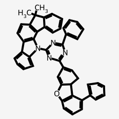 CC1(C)c2ccccc2-c2c1ccc1c3ccccc3n(-c3nc(C4=CCC5C(=C4)Oc4cccc(-c6ccccc6)c45)nc(-c4ccccc4)n3)c21